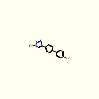 CC(C)c1ccc(-c2ccc(-c3cn(C(C)C)nn3)cc2)cc1